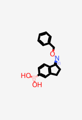 OB(O)c1ccc2c(c1)CC/C2=N/OCc1ccccc1